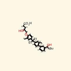 CCC(CC)(c1ccc(OCC(O)CCC(=O)O)c(C)c1)c1ccc(-c2cccc(C(O)C(C)(C)C)c2)c(C)c1